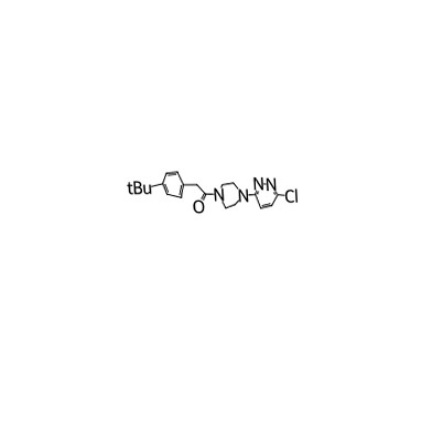 CC(C)(C)c1ccc(CC(=O)N2CCN(c3ccc(Cl)nn3)CC2)cc1